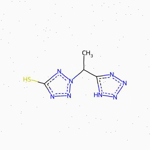 CC(c1nnn[nH]1)n1nnc(S)n1